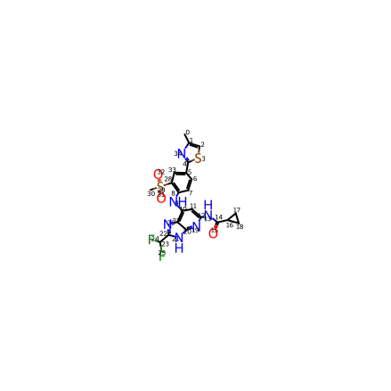 Cc1csc(-c2ccc(Nc3cc(NC(=O)C4CC4)nc4[nH]c(C(F)F)nc34)c(S(C)(=O)=O)c2)n1